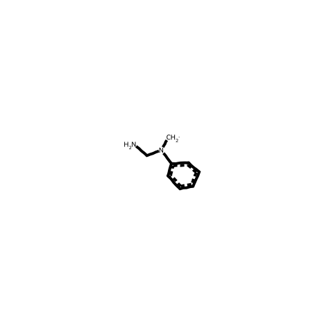 [CH2]N(CN)c1ccccc1